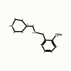 COc1ccccc1COCC1CC[N]CC1